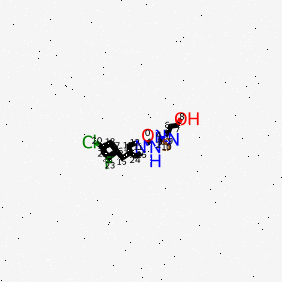 O=C(Nc1nc(CCO)ns1)N1CCC(Cc2ccc(Cl)cc2F)CC1